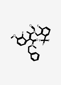 COc1cccc(/C(C(=O)N(C)CCc2ccccc2)=C(\C)N(C=O)Cc2c(F)cccc2C(F)(F)F)c1F